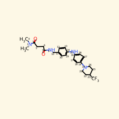 CN(C)C(=O)CCC(=O)NCc1ccc(Nc2ccc(N3CCC(C(F)(F)F)CC3)cc2)cc1